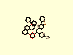 CC1(C)c2ccccc2-c2cc3cccc(-c4cccc(C(Cc5ccc6sc7ccccc7c6c5)c5ccc(C#N)cc5)c4)c3c(/C(=C\c3ccccc3)c3ccccc3)c21